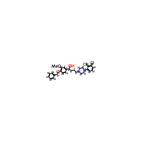 COc1cc(C(O)CCCN2CCN(c3cccc(Cl)c3Cl)CC2)ccc1OCc1ccccc1